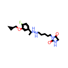 CC(NNCCCCCN1C(=O)CNC1=O)c1ccc(F)c(OCC2CC2)c1